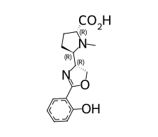 CN1[C@@H](C(=O)O)CC[C@@H]1[C@@H]1COC(c2ccccc2O)=N1